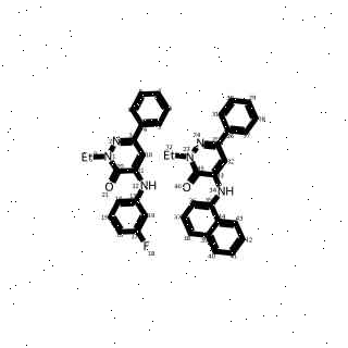 CCn1nc(-c2ccccc2)cc(Nc2cccc(F)c2)c1=O.CCn1nc(-c2ccccc2)cc(Nc2cccc3ccccc23)c1=O